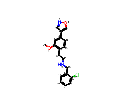 COc1cc(-c2cnoc2)ccc1CCNCc1ccccc1Cl